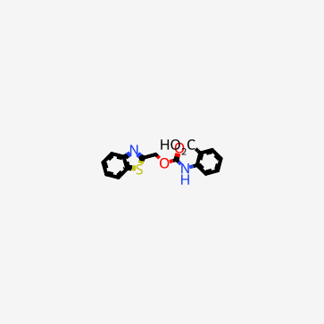 O=C(Nc1ccccc1C(=O)O)OCc1nc2ccccc2s1